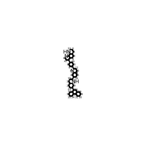 C1=Cc2ccc3c(-c4ccc(-c5ccc6ccc(C7=CC=C8C=CC(c9cc%10ccccc%10c%10ccccc9%10)=CC8N7)cc6n5)cc4)ccnc3c2NC1